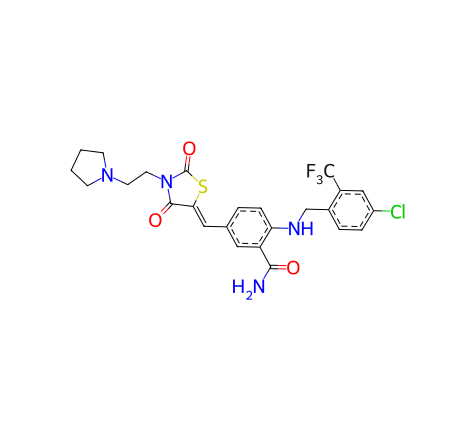 NC(=O)c1cc(/C=C2\SC(=O)N(CCN3CCCC3)C2=O)ccc1NCc1ccc(Cl)cc1C(F)(F)F